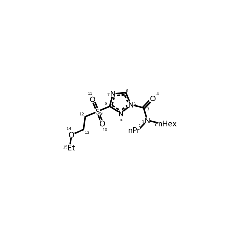 CCCCCCN(CCC)C(=O)n1cnc(S(=O)(=O)CCOCC)n1